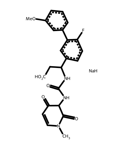 COc1cccc(-c2cc(C(CC(=O)O)NC(=O)NC3C(=O)C=CN(C)C3=O)ccc2F)c1.[NaH]